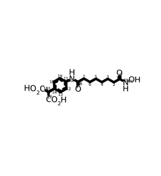 O=C(CCCCCCC(=O)Nc1ccc(C(C(=O)O)C(=O)O)cc1)NO